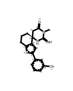 CN1C(=N)N[C@@]2(CCCc3sc(-c4cccc(C#N)c4)cc32)CC1=O